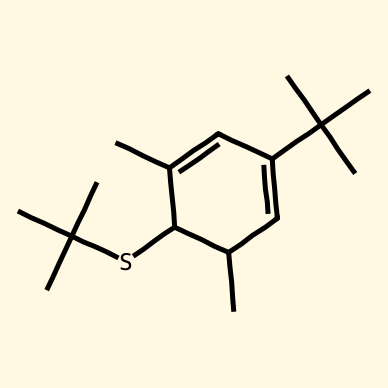 CC1=CC(C(C)(C)C)=CC(C)C1SC(C)(C)C